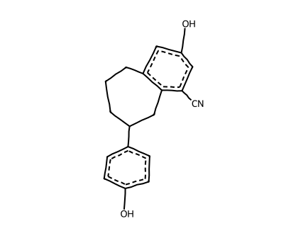 N#Cc1cc(O)cc2c1CC(c1ccc(O)cc1)CCC2